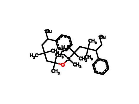 CC(C)(C)CC(c1ccccc1)C(C)(C)CC(C)(C)[Si](C)(C)OC(C)(C)CC(C)(C)CC(c1ccccc1)C(C)(C)C